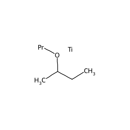 CCC(C)[O][Pr].[Ti]